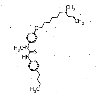 C=CCN(C)CCCCCCOc1ccc(N(C)C(=S)Nc2ccc(CCCC)cc2)cc1